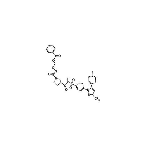 Cc1ccc(-c2cc(C(F)(F)F)nn2-c2ccc(S(=O)(=O)NC(=O)C3CCN([N+]([O-])=NOCOC(=O)c4ccccc4)C3)cc2)cc1